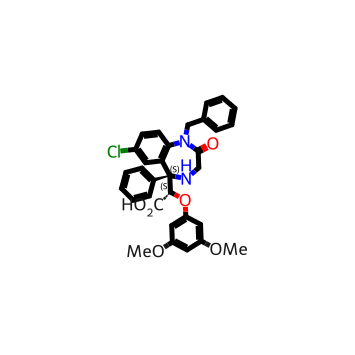 COc1cc(OC)cc(O[C@H](C(=O)O)[C@@]2(c3ccccc3)NCC(=O)N(Cc3ccccc3)c3ccc(Cl)cc32)c1